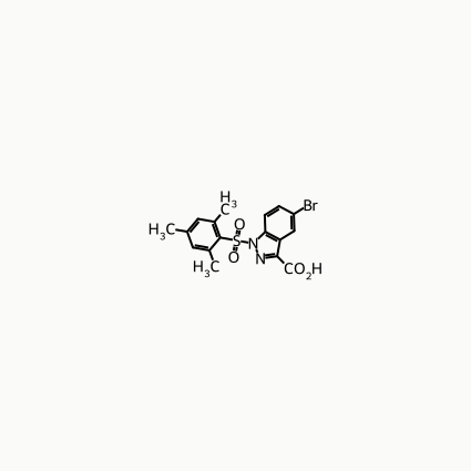 Cc1cc(C)c(S(=O)(=O)n2nc(C(=O)O)c3cc(Br)ccc32)c(C)c1